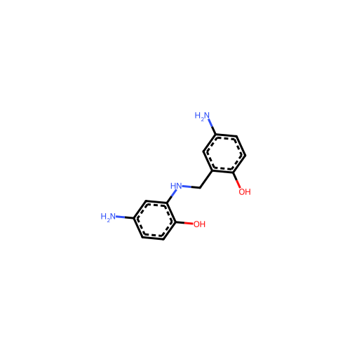 Nc1ccc(O)c(CNc2cc(N)ccc2O)c1